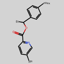 CCCCCCc1ccc(C(CC)OC(=O)c2ccc(CCC)cn2)cc1